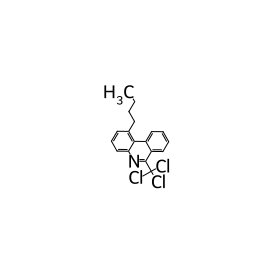 CCCCc1cccc2nc(C(Cl)(Cl)Cl)c3ccccc3c12